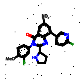 COc1ccc(-n2c(C3CCCN3)nc3c(-c4ccc(F)nc4)cc([N+](=O)[O-])cc3c2=O)cc1F